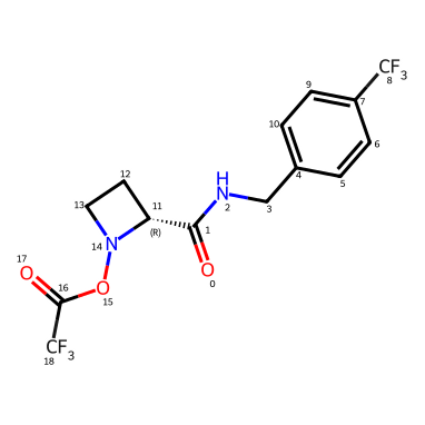 O=C(NCc1ccc(C(F)(F)F)cc1)[C@H]1CCN1OC(=O)C(F)(F)F